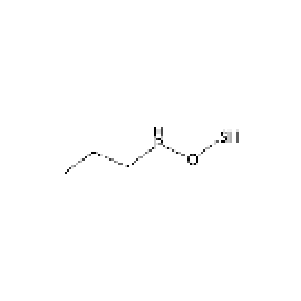 CCCPOS